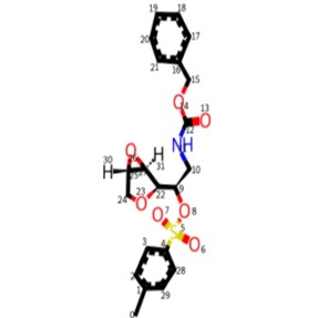 Cc1ccc(S(=O)(=O)O[C@H](CNC(=O)OCc2ccccc2)[C@H]2OC[C@@H]3O[C@@H]23)cc1